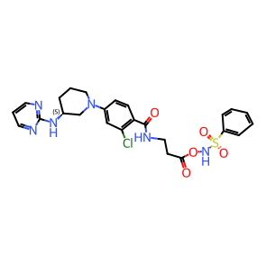 O=C(CCNC(=O)c1ccc(N2CCC[C@H](Nc3ncccn3)C2)cc1Cl)ONS(=O)(=O)c1ccccc1